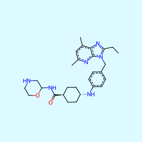 CCc1nc2c(C)cc(C)nc2n1Cc1ccc(N[C@H]2CC[C@H](C(=O)NC3CNCCO3)CC2)cc1